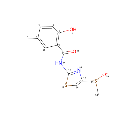 Cc1ccc(O)c(C(=O)Nc2nc([S+](C)[O-])cs2)c1